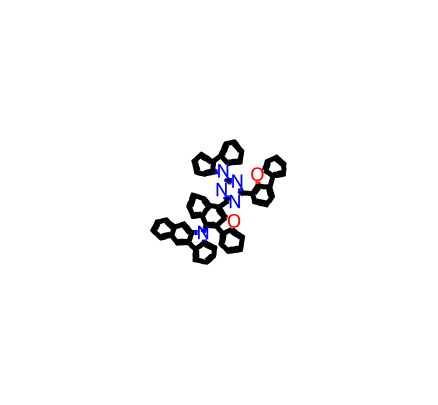 c1ccc2cc3c(cc2c1)c1ccccc1n3-c1c2ccccc2c(-c2nc(-c3cccc4c3oc3ccccc34)nc(-n3c4ccccc4c4ccccc43)n2)c2oc3ccccc3c12